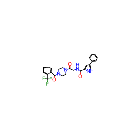 O=C(NCC(=O)N1CCN(C(=O)c2ccccc2C(F)(F)F)CC1)c1cc(-c2ccccc2)c[nH]1